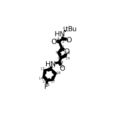 CC(C)(C)NC(=O)C(=O)c1cc(C(=O)Nc2ccc(F)cc2)co1